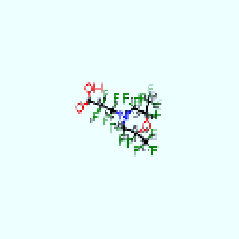 O=C(O)C(F)(F)C(F)(F)N1C(F)(F)C(F)(C(F)(F)F)OC(F)(C(F)(F)F)C1(F)F